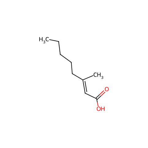 CCCCC/C(C)=C/C(=O)O